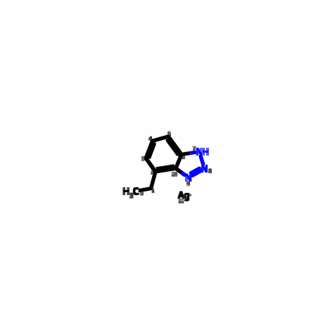 CCc1cccc2[nH]nnc12.[Ag]